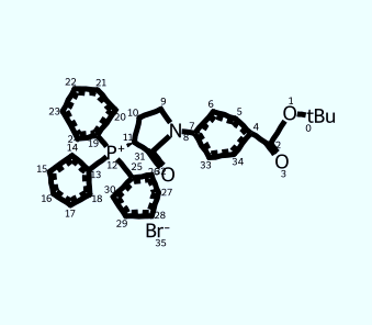 CC(C)(C)OC(=O)c1ccc(N2CC[C@@H]([P+](c3ccccc3)(c3ccccc3)c3ccccc3)C2=O)cc1.[Br-]